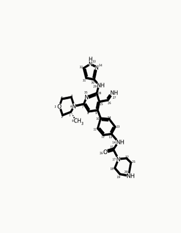 C[C@@H]1COCCN1c1cc(-c2ccc(NC(=O)N3CCNCC3)cc2)c(C=N)c(Nc2cc[nH]n2)n1